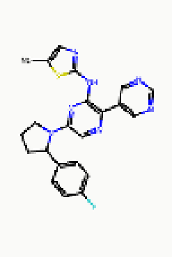 N#Cc1cnc(Nc2nc(N3CCCC3c3ccc(F)cc3)cnc2-c2cncnc2)s1